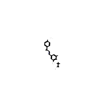 CCc1cc(/C=C/C(=O)c2ccc(SC)cc2)cc(CC)c1OC(C)(C)C(=O)OC(C)(C)C